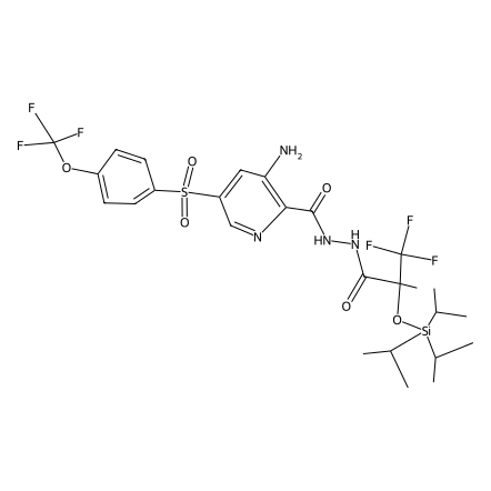 CC(C)[Si](OC(C)(C(=O)NNC(=O)c1ncc(S(=O)(=O)c2ccc(OC(F)(F)F)cc2)cc1N)C(F)(F)F)(C(C)C)C(C)C